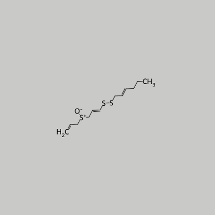 C=CC[S+]([O-])CC=CSSCC=CCCC